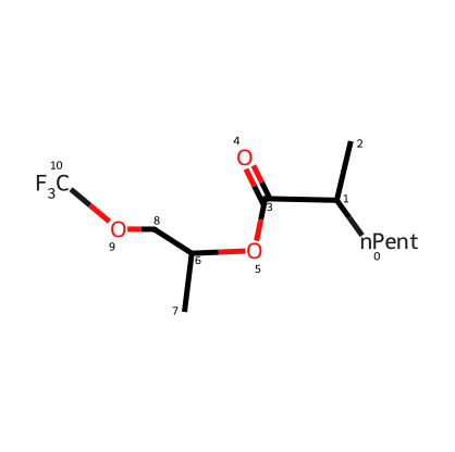 CCCCCC(C)C(=O)OC(C)COC(F)(F)F